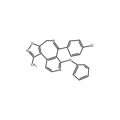 Cc1noc2c1-c1ccnc(Oc3ccccc3)c1C(c1ccc(Cl)cc1)=NC2